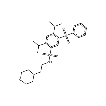 CC(C)c1cc(C(C)C)c(S(=O)(=O)c2ccccc2)cc1S(=O)(=O)NCCC1CCOCC1